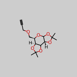 C#CCOC[C@H]1OC2OC(C)(C)O[C@@H]2C2OC(C)(C)O[C@H]21